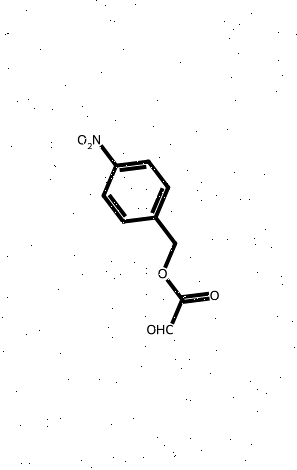 O=CC(=O)OCc1ccc([N+](=O)[O-])cc1